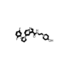 O=C(NCCN1CCC(O)CC1)c1cnn2ccc(N3CCC[C@@H]3c3cc(F)ccc3F)cc12